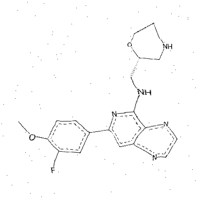 COc1ccc(-c2cc3nccnc3c(NC[C@H]3CNCCO3)n2)cc1F